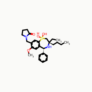 CCCC[C@]1(CC)CS(O)(O)c2cc(CN3CCCC3=O)c(OC)cc2[C@@H](c2ccccc2)N1